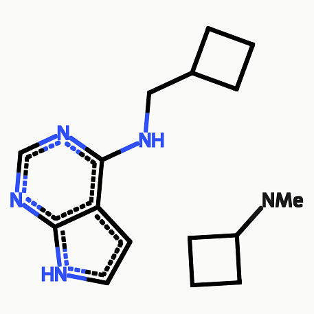 CNC1CCC1.c1nc(NCC2CCC2)c2cc[nH]c2n1